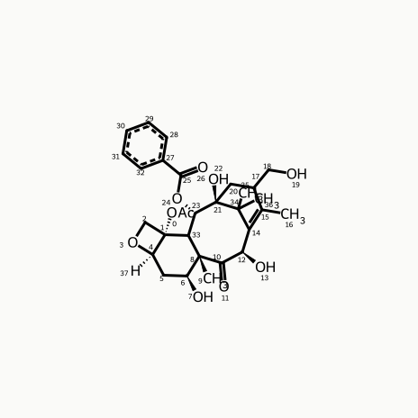 CC(=O)O[C@@]12CO[C@@H]1C[C@H](O)[C@@]1(C)C(=O)[C@H](O)C3=C(C)C(CO)C[C@@](O)([C@@H](OC(=O)c4ccccc4)C12)C3(C)C